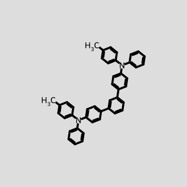 Cc1ccc(N(c2ccccc2)c2ccc(-c3cccc(-c4ccc(N(c5ccccc5)c5ccc(C)cc5)cc4)c3)cc2)cc1